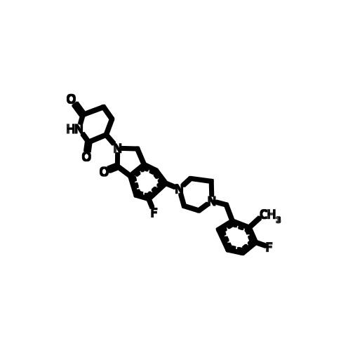 Cc1c(F)cccc1CN1CCN(c2cc3c(cc2F)C(=O)N(C2CCC(=O)NC2=O)C3)CC1